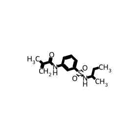 C=C(C)C(=O)Nc1cccc(S(=O)(=O)NC(C)CC)c1